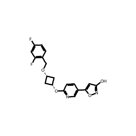 Oc1cc(-c2ccc(O[C@H]3C[C@@H](OCc4ccc(F)cc4F)C3)nc2)on1